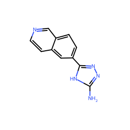 Nc1nnc(-c2ccc3cnccc3c2)[nH]1